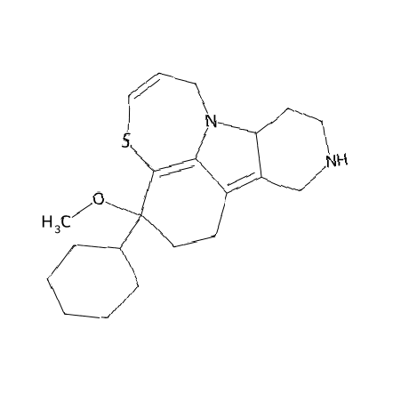 COC1(C2CCCCC2)CCC2=C3CNCCC3N3CC=CSC1=C23